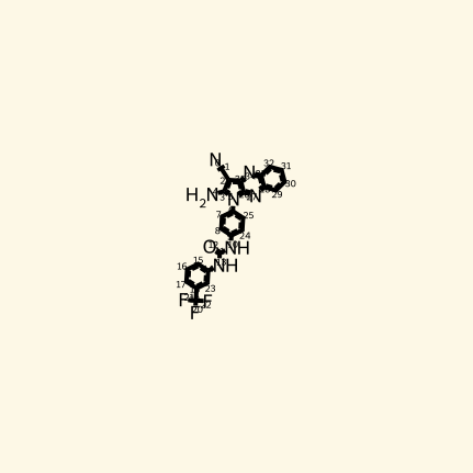 N#Cc1c(N)n(-c2ccc(NC(=O)Nc3cccc(C(F)(F)F)c3)cc2)c2nc3ccccc3nc12